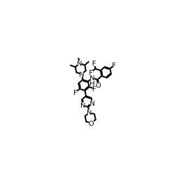 CC1CN(c2cc(F)c(-c3cnc(N4CCOCC4)nc3)c(F)c2NC(=O)c2ccc(F)cc2C(F)F)CC(C)N1C